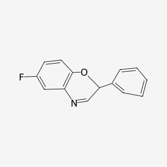 Fc1ccc2c(c1)N=CC(c1ccccc1)O2